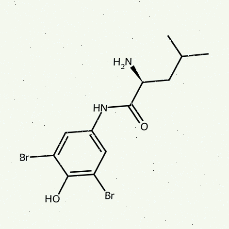 CC(C)C[C@H](N)C(=O)Nc1cc(Br)c(O)c(Br)c1